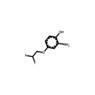 Nc1cc(OCC(F)F)ccc1O